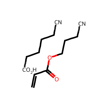 C=CC(=O)OCCCC#N.N#CCCCCC(=O)O